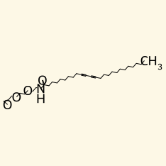 CCCCCCCCCCCCC#CC#CCCCCCCCCC(=O)NCCOCCOCC1CO1